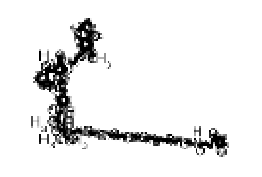 COc1cc2c(cc1OCCCOc1cc3c(cc1OC)C(=O)N1CCC[C@H]1[C@H](O)N3C(=O)OCc1ccc(NC(=O)[C@H](C)NC(=O)[C@@H](NC(=O)CCOCCOCCOCCOCCOCCOCCOCCOCCNC(=O)CCN3C(=O)C=CC3=O)C(C)C)cc1)N=C[C@@H]1CCCN1C2=O